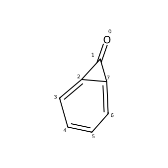 O=c1c2ccccc12